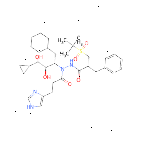 CC(C)(C)S(=O)(=O)C[C@H](Cc1ccccc1)C(=O)NN(C(=O)CCc1c[nH]cn1)[C@@H](CC1CCCCC1)[C@@H](O)[C@@H](O)C1CC1